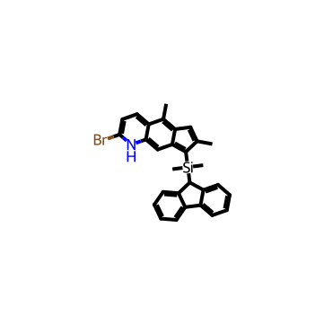 Cc1cc2c(C)c3ccc(Br)[nH]c3cc2c1[Si](C)(C)C1c2ccccc2-c2ccccc21